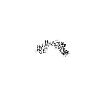 CNC(=O)c1ccc(NCCCCC2CCN(C(=O)[C@@](O)(c3cccc(OC(F)(F)F)c3)C(F)(F)F)CC2)cc1Cl